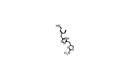 C=C/C(=C\C=N)Cc1nnc(CC2CSC(N)=N2)[nH]1